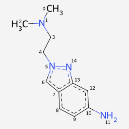 CN(C)CCn1cc2ccc(N)cc2n1